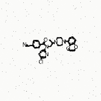 CC(CN(C(=O)c1ccc(C#N)cc1)c1ccc(Cl)cn1)N1CCN(c2cccc3c2OCCO3)CC1